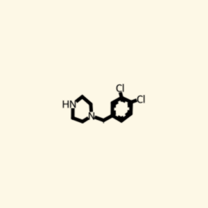 Clc1ccc([CH]N2CCNCC2)cc1Cl